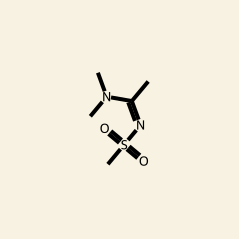 C/C(=N/S(C)(=O)=O)N(C)C